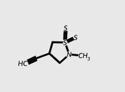 C#CC1CN(C)S(=S)(=S)C1